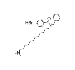 Br.CN(C)CCCCCCCCCCCCN(Cc1ccccc1)C(=O)c1ccccc1